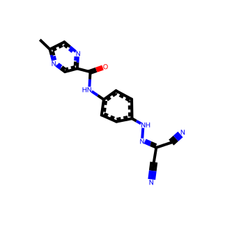 Cc1cnc(C(=O)Nc2ccc(NN=C(C#N)C#N)cc2)cn1